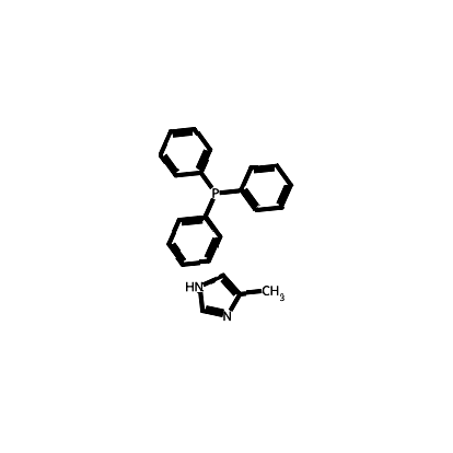 Cc1c[nH]cn1.c1ccc(P(c2ccccc2)c2ccccc2)cc1